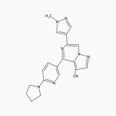 Cn1cc(-c2cn3ncc(C#N)c3c(-c3ccc(N4CCCC4)nc3)n2)cn1